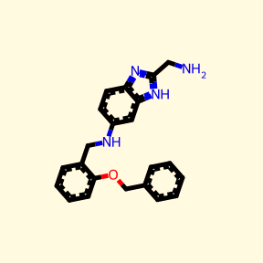 NCc1nc2ccc(NCc3ccccc3OCc3ccccc3)cc2[nH]1